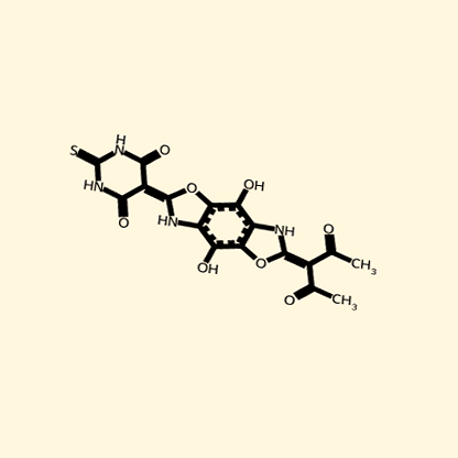 CC(=O)C(C(C)=O)=C1Nc2c(O)c3c(c(O)c2O1)NC(=C1C(=O)NC(=S)NC1=O)O3